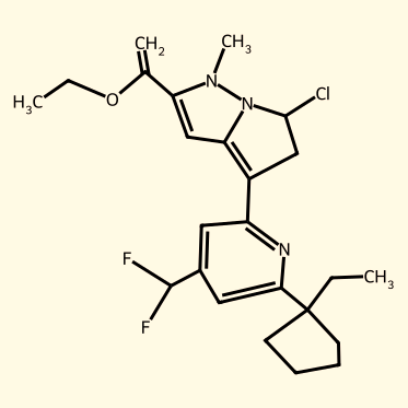 C=C(OCC)C1=CC2=C(c3cc(C(F)F)cc(C4(CC)CCCC4)n3)CC(Cl)N2N1C